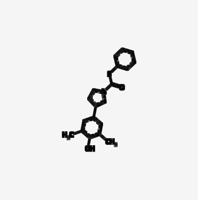 Cc1cc(-c2ccn(C(=O)Sc3ccccc3)c2)cc(C)c1O